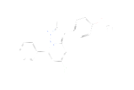 CCOc1ccc(-c2c(C)nn3c(-c4ccccc4)cc(Cl)cc23)cc1